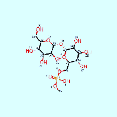 COP(=O)(O)OCC1O[C@H](O[C@H]2OC(CO)[C@@H](O)[C@H](O)C2O)C(O)C(O)[C@@H]1O